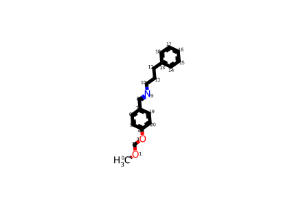 COCOc1ccc(C=NCCCc2ccccc2)cc1